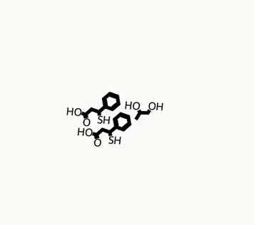 CC(O)CO.O=C(O)CC(S)c1ccccc1.O=C(O)CC(S)c1ccccc1